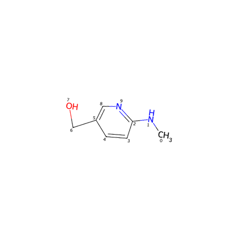 CNc1ccc(CO)cn1